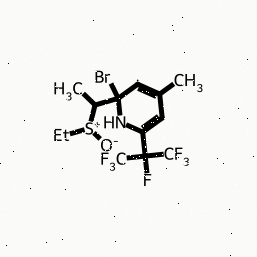 CC[S+]([O-])C(C)C1(Br)[C]=C(C)C=C(C(F)(C(F)(F)F)C(F)(F)F)N1